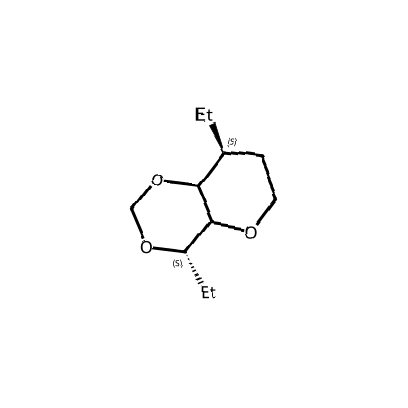 CC[C@H]1CCOC2C1OCO[C@H]2CC